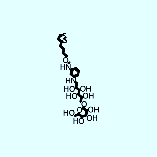 OCC1OC(OCC(O)C(O)C(O)C(O)CNc2cccc(NCOCCCCC3CCSS3)c2)C(O)C(O)C1O